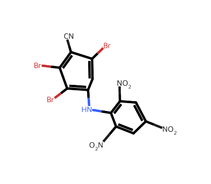 N#Cc1c(Br)cc(Nc2c([N+](=O)[O-])cc([N+](=O)[O-])cc2[N+](=O)[O-])c(Br)c1Br